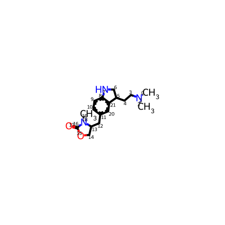 CN(C)CCC1CNc2ccc(CC3COC(=O)N3C)cc21